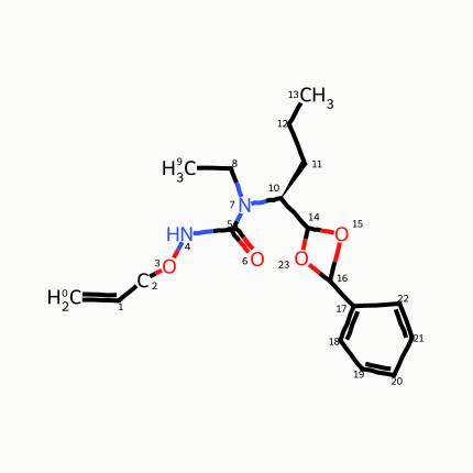 C=CCONC(=O)N(CC)[C@@H](CCC)C1OC(c2ccccc2)O1